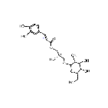 O=C(/C=C/c1ccc(O)c(O)c1)OC[C@@H](O)COC1OC(CO)C(O)C(O)C1O